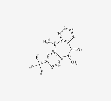 CN1C(=O)c2cccnc2N(C)c2cc(C(F)(F)F)ccc21